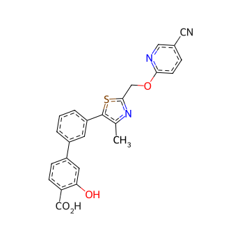 Cc1nc(COc2ccc(C#N)cn2)sc1-c1cccc(-c2ccc(C(=O)O)c(O)c2)c1